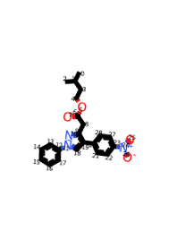 CC(C)CCOC(=O)Cc1nn(-c2ccccc2)cc1-c1ccc([N+](=O)[O-])cc1